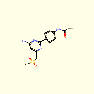 CNC(=O)Nc1ccc(-c2nc(N)cc(CS(=O)(=O)C(C)C)n2)cc1